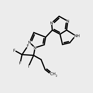 C=CCC(I)(n1cc(-c2ncnc3[nH]ccc23)cn1)C(F)(F)F